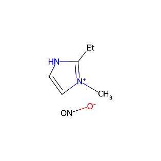 CCc1[nH]cc[n+]1C.O=N[O-]